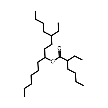 CCCCCCC(CCC(CC)CCCC)OC(=O)C(CC)CCCC